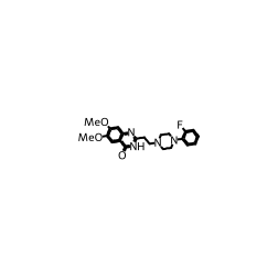 COc1cc2nc(CCN3CCN(c4ccccc4F)CC3)[nH]c(=O)c2cc1OC